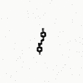 Cc1ccc(N=CC=Cc2ccc(F)cc2)cc1